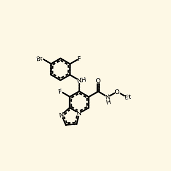 CCONC(=O)c1cn2ccnc2c(F)c1Nc1ccc(Br)cc1F